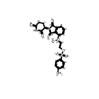 Cc1ccc(S(=O)(=O)OCC[S+]([O-])c2cccc3c2C(=O)N(C2CCC(=O)NC2=O)C3=O)cc1